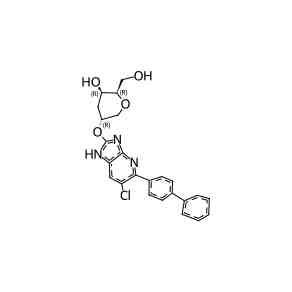 OC[C@H]1OC[C@H](Oc2nc3nc(-c4ccc(-c5ccccc5)cc4)c(Cl)cc3[nH]2)C[C@H]1O